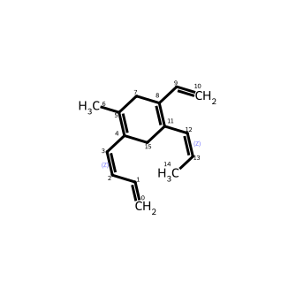 C=C/C=C\C1=C(C)CC(C=C)=C(/C=C\C)C1